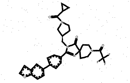 O=C(C1CC1)N1CC[C@@H](CN2C(=O)C3(CCN(C(=O)C(F)(F)F)CC3)N=C2c2ccc(-c3ccc4occc4c3)cc2)C1